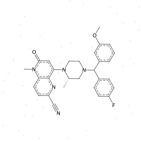 COc1cccc(C(c2ccc(F)cc2)N2CCN(c3cc(=O)n(C)c4ccc(C#N)nc34)[C@@H](C)C2)c1